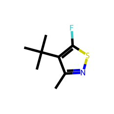 Cc1nsc(F)c1C(C)(C)C